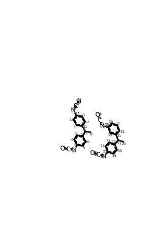 CC(c1ccc(N=C=O)cc1)c1ccc(N=C=O)cc1.CC(c1ccc(N=C=O)cc1)c1cccc(N=C=O)c1